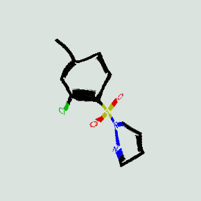 Cc1ccc(S(=O)(=O)n2cccn2)c(Cl)c1